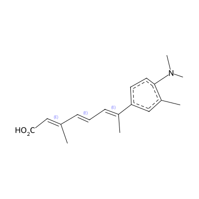 CC(/C=C/C=C(\C)c1ccc(N(C)C)c(C)c1)=C\C(=O)O